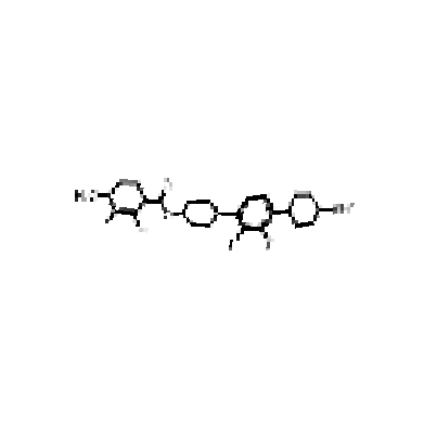 CCCC1CCC(c2ccc(C3CCC(OC(=O)C4CCC(C)C(F)=C4F)CC3)c(F)c2F)CC1